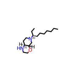 CCCCCCC[C@H](CC)N1CC[C@@H]2NCCO[C@H]2C1